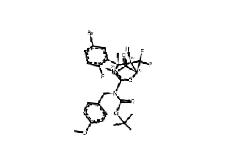 COC(=O)[C@@]12SC(N(Cc3ccc(OC)cc3)C(=O)OC(C)(C)C)=N[C@](C)(c3cc(Br)ccc3F)[C@@H]1C2(F)F